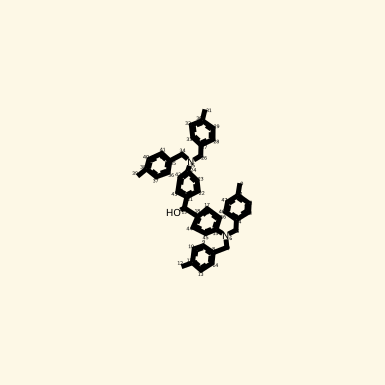 Cc1ccc(CN(Cc2ccc(C)cc2)c2ccc(C(O)c3ccc(N(Cc4ccc(C)cc4)Cc4ccc(C)cc4)cc3)cc2)cc1